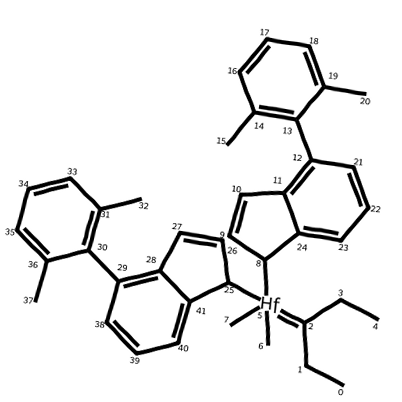 CC[C](CC)=[Hf]([CH3])([CH3])([CH]1C=Cc2c(-c3c(C)cccc3C)cccc21)[CH]1C=Cc2c(-c3c(C)cccc3C)cccc21